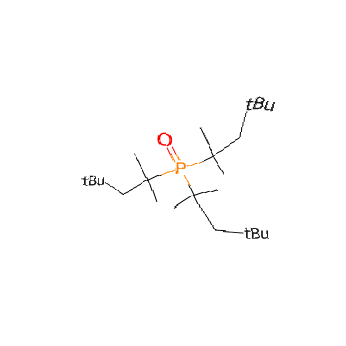 CC(C)(C)CC(C)(C)P(=O)(C(C)(C)CC(C)(C)C)C(C)(C)CC(C)(C)C